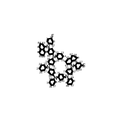 Fc1ccc(N(c2ccc(N(c3ccccc3)c3ccc(N(c4ccccc4)c4ccc(N(c5ccccc5)c5ccc(N(c6ccccc6)c6ccc(N(c7ccc(F)cc7)c7cccc8ccccc78)cc6)cc5)cc4)cc3)cc2)c2cccc3ccccc23)cc1